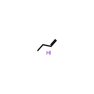 C=CCC.I